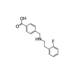 O=C(O)c1ccc(CNCCc2ccccc2F)cc1